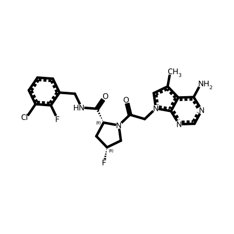 Cc1cn(CC(=O)N2C[C@H](F)C[C@@H]2C(=O)NCc2cccc(Cl)c2F)c2ncnc(N)c12